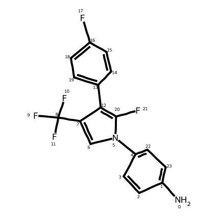 Nc1ccc(-n2cc(C(F)(F)F)c(-c3ccc(F)cc3)c2F)cc1